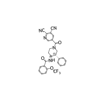 N#Cc1cc(C(=O)N2CC[C@@H](NC(=O)c3ccccc3OC(F)(F)F)[C@@H](c3ccccc3)C2)cnc1C#N